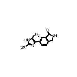 Cc1[nH]c(C(C)(C)C)nc1-c1ccc2c(c1)C(=O)NC2